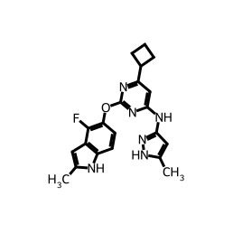 Cc1cc(Nc2cc(C3CCC3)nc(Oc3ccc4[nH]c(C)cc4c3F)n2)n[nH]1